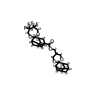 O=C(OCC1COC2(OC1)C1CC3CC(C1)CC2C3)C12CC3CC(C1)C1(OCC(F)(F)C(F)(F)CO1)C(C3)C2